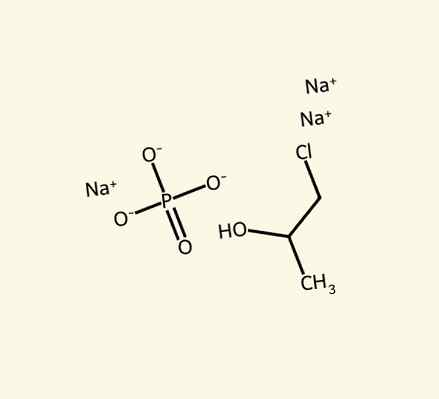 CC(O)CCl.O=P([O-])([O-])[O-].[Na+].[Na+].[Na+]